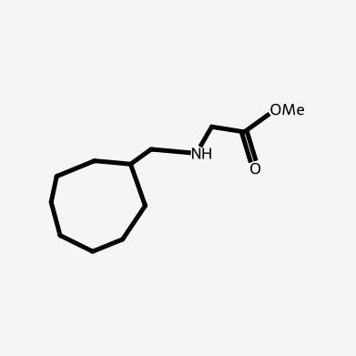 COC(=O)CNCC1CCCCCCC1